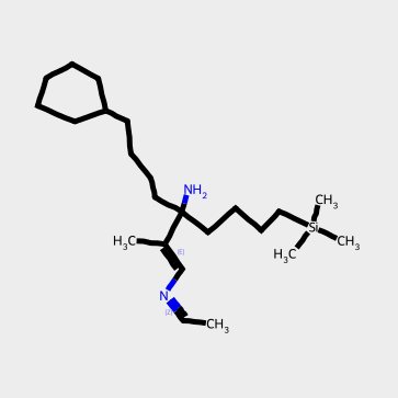 C/C=N\C=C(/C)C(N)(CCCCC1CCCCC1)CCCC[Si](C)(C)C